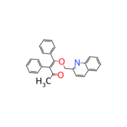 CC(=O)C(=C(OCc1ccc2ccccc2n1)c1ccccc1)c1ccccc1